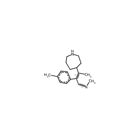 C/N=C\C(=C(/C)C1CCCNCC1)c1ccc(C)cc1